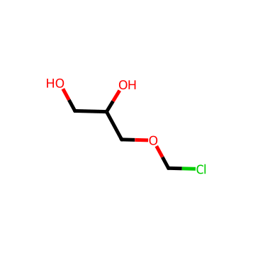 OCC(O)COCCl